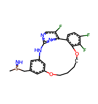 CS(=N)Cc1cc2cc(c1)OCCCCOc1c(ccc(F)c1F)-c1nc(ncc1F)N2